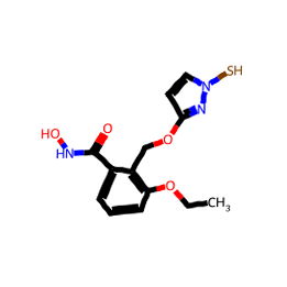 CCOc1cccc(C(=O)NO)c1COc1ccn(S)n1